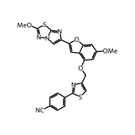 COc1cc(OCc2csc(-c3ccc(C#N)cc3)n2)c2cc(-c3cn4nc(OC)sc4n3)oc2c1